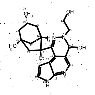 CC[C@@]1(C2=NN(CCO)B(O)c3cnc4[nH]ccc4c32)C[C@]2(O)C[C@H](C)C[C@H]1C2